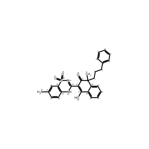 CC1(CCCc2ccccc2)C(=O)C(C2=NS(=O)(=O)c3cc(N)ccc3N2)=C(O)c2ccccc21